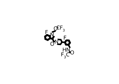 O=C(c1cn(CCOC(F)(F)F)c2c(F)cccc12)N1CCC(c2cc(CNC(=O)C(F)(F)F)ccc2F)CC1